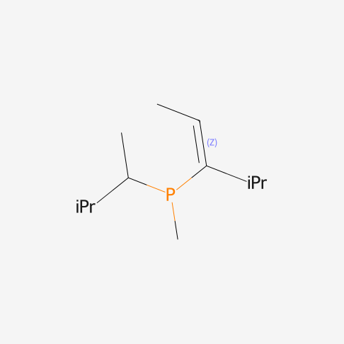 C/C=C(/C(C)C)P(C)C(C)C(C)C